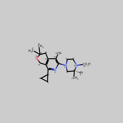 CC(C)[C@]1(C)CN(c2nc(C3CC3)c3c(c2C#N)CC(C)(C)OC3)CCN1C(=O)O